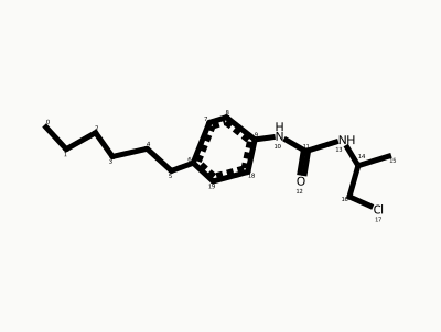 CCCCCCc1ccc(NC(=O)NC(C)CCl)cc1